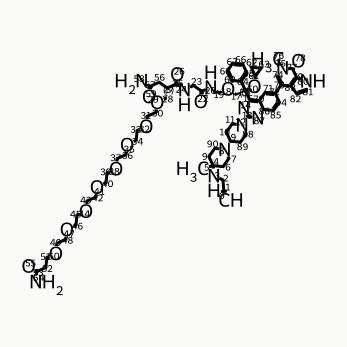 C#CCNC1(C)CCN(C2CCN(c3nc([C@@](COCNC(=O)CNC(=O)[C@H](COCCOCCOCCOCCOCCOCCOCCOCCC(N)=O)CC(N)=O)(OC4CC4)c4ccccc4)c4cc(-c5cn(C)c(=O)c6[nH]ccc56)ccc4n3)CC2)CC1